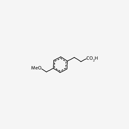 COCc1ccc(CCC(=O)O)cc1